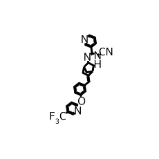 N#CNC(=NC1CC2CC1CC2=Cc1cccc(Oc2ccc(C(F)(F)F)cn2)c1)c1cccnc1